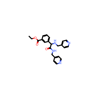 CCOC(=O)c1cccc(C(NCc2ccncc2)C(=O)NCc2ccncc2)c1